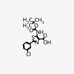 CC(C)(C)OC(=O)Nc1sc(-c2cccc(Cl)c2)nc1C(=O)O